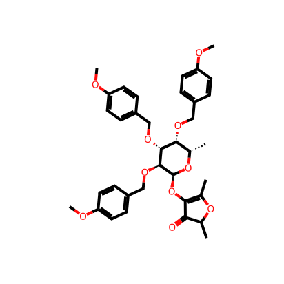 COc1ccc(CO[C@H]2[C@H](OCc3ccc(OC)cc3)[C@H](OC3=C(C)OC(C)C3=O)O[C@@H](C)[C@H]2OCc2ccc(OC)cc2)cc1